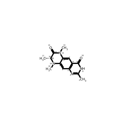 Cc1nc2cc3c(cc2c(=O)[nH]1)N(C)C(=O)[C@@H](C)N3C